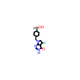 O=c1[nH]cnc2c1c(F)cn2Cc1ccc(BO)cc1